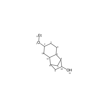 CCOC1CCC2C3CC(CC3O)C2C1